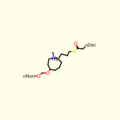 CCCCCCCCCCCC(=O)SCCC[SiH]1CCCC(OCOCCCCCCCCC)CCN1C